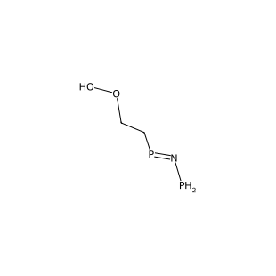 OOCCP=NP